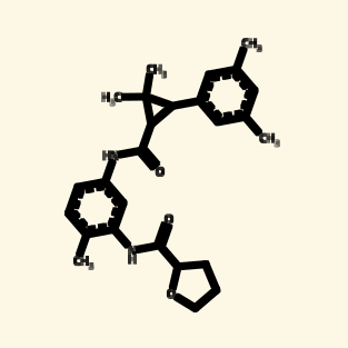 Cc1cc(C)cc(C2C(C(=O)Nc3ccc(C)c(NC(=O)C4CCCO4)c3)C2(C)C)c1